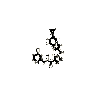 O=C(NCc1cc(Cl)ccn1)c1cn(Cc2cn3cc(C4CC4)ccc3n2)nn1